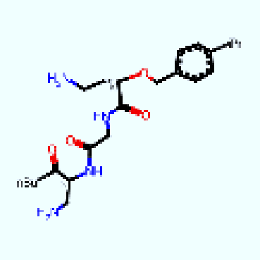 CCCCC(=O)[C@H](CN)NC(=O)CNC(=O)[C@H](CCN)OCc1ccc(C(C)C)cc1